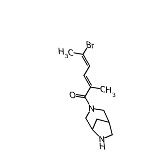 C/C(Br)=C\C=C(/C)C(=O)N1CC2CNC(C2)C1